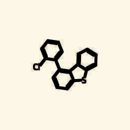 Clc1ccccc1-c1cccc2sc3ccccc3c12